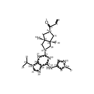 C=CC(=O)N1C[C@H]2CN(c3nc(Nc4cnn(C)c4)c4ncn(C(C)C)c4n3)C[C@@]2(F)C1